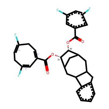 O=C(O[C@H]1C2CC3c4ccccc4CC3CC(C2)[C@H]1OC(=O)c1cc(F)cc(F)c1)C1=C/C/C(F)=C\C/C(F)=C\1